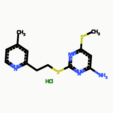 CSc1cc(N)nc(SCCc2cc(C)ccn2)n1.Cl